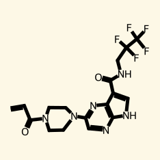 C=CC(=O)N1CCN(c2cnc3[nH]cc(C(=O)NCC(F)(F)C(F)(F)F)c3n2)CC1